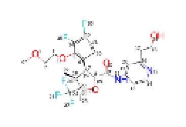 COCCOc1c([C@H]2[C@H](C(=O)Nc3ccnc(CCO)c3)O[C@@](C)(C(F)(F)F)[C@H]2C)ccc(F)c1F